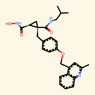 Cc1cc(COc2ccc(C[C@]3(C(=O)NCC(C)C)C[C@@H]3C(=O)NO)cc2)c2ccccc2n1